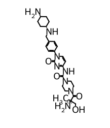 C[C@](N)(CO)C(=O)N1CCN(C(=O)Nc2ccn(-c3ccc(CN[C@H]4CC[C@H](N)CC4)cc3)c(=O)n2)CC1